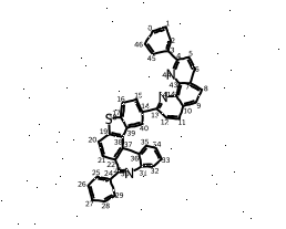 c1ccc(-c2ccc3ccc4ccc(-c5ccc6sc7ccc8c(-c9ccccc9)nc9ccccc9c8c7c6c5)nc4c3n2)cc1